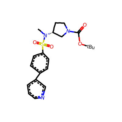 CN([C@@H]1CCN(C(=O)OC(C)(C)C)C1)S(=O)(=O)c1ccc(-c2cccnc2)cc1